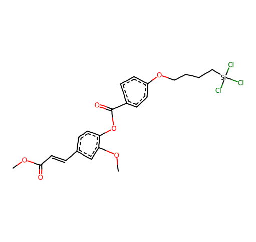 COC(=O)C=Cc1ccc(OC(=O)c2ccc(OCCCC[Si](Cl)(Cl)Cl)cc2)c(OC)c1